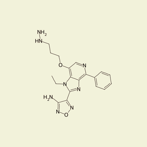 CCn1c(-c2nonc2N)nc2c(-c3ccccc3)ncc(OCCCNN)c21